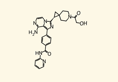 Nc1nccn2c([C@H]3CC34CCN(C(=O)CO)CC4)nc(-c3ccc(C(=O)Nc4ccccn4)cc3)c12